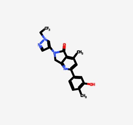 Cc1ccc(-c2cc(C)c3c(n2)CN(c2cnn(CC(F)(F)F)c2)C3=O)cc1O